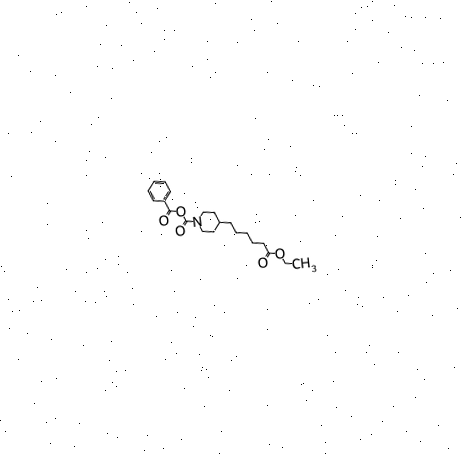 CCOC(=O)CCCCCC1CCN(C(=O)OC(=O)c2ccccc2)CC1